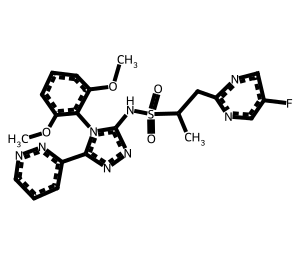 COc1cccc(OC)c1-n1c(NS(=O)(=O)C(C)Cc2ncc(F)cn2)nnc1-c1cccnn1